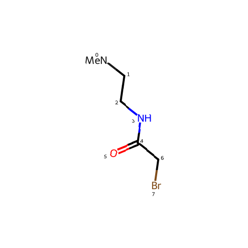 CNCCNC(=O)CBr